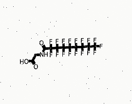 O=C(O)CNC(=O)C(F)(F)C(F)(F)C(F)(F)C(F)(F)C(F)(F)C(F)(F)C(F)(F)C(F)(F)F